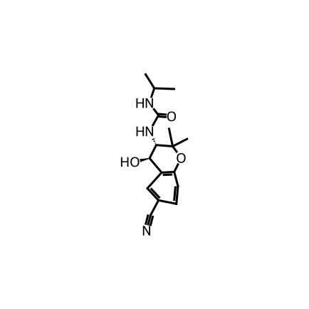 CC(C)NC(=O)N[C@H]1[C@H](O)c2cc(C#N)ccc2OC1(C)C